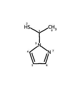 CC(S)n1cccn1